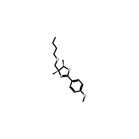 CCCCOC[C@@]1(C)N=C(c2ccc(OC)cc2)O[C@@H]1C